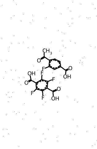 CC(=O)c1ccc(C(=O)O)cc1F.O=C(O)c1c(F)c(F)c(C(=O)O)c(F)c1F